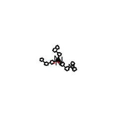 c1ccc(-c2cccc(-c3ccc(-c4nc(-c5ccc(-c6cccc(-n7c8ccccc8c8ccccc87)c6)cc5)nc(-c5cccc(-c6cccc7ccccc67)c5)n4)cc3)c2)cc1